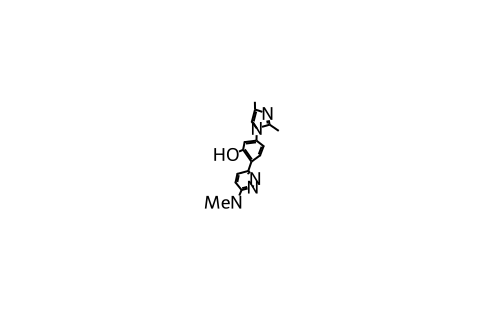 CNc1ccc(-c2ccc(-n3cc(C)nc3C)cc2O)nn1